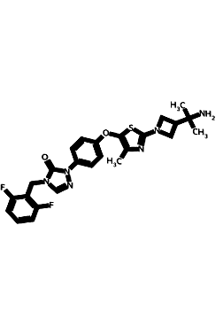 Cc1nc(N2CC(C(C)(C)N)C2)sc1Oc1ccc(-n2ncn(Cc3c(F)cccc3F)c2=O)cc1